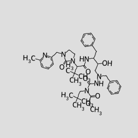 COC(=O)N(CC(C)(C)C)C(=O)NN(Cc1ccccc1)CC(O)C(Cc1ccccc1)NC(=O)C(N1CCN(Cc2cccc(C)n2)C1=O)C(C)(C)C